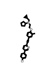 Cc1cc(C#Cc2ccc(-c3ccc(Cl)cc3)cn2)ccc1OCCN(CC1CC1)C1CCCC1